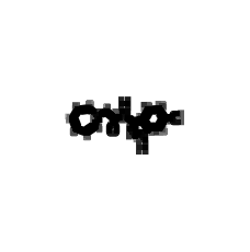 O=C(CN1C=CC=CC=C1)Nc1n[nH]c2cc(Cl)ccc12